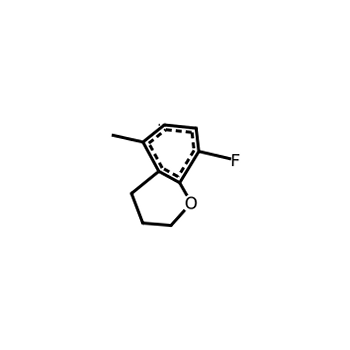 Cc1[c]cc(F)c2c1CCCO2